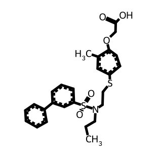 CCCN(CCSc1ccc(OCC(=O)O)c(C)c1)S(=O)(=O)c1cccc(-c2ccccc2)c1